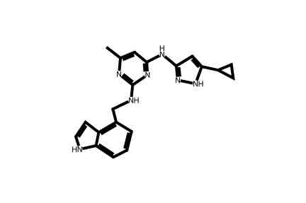 Cc1cc(Nc2cc(C3CC3)[nH]n2)nc(NCc2cccc3[nH]ccc23)n1